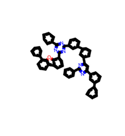 c1ccc(-c2cccc(-c3cc(-c4cccc(-c5cccc(-c6nc(-c7ccccc7)nc(-c7cccc8c7oc7c(-c9ccccc9)cccc78)n6)c5)c4)nc(-c4ccccc4)n3)c2)cc1